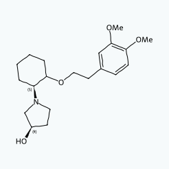 COc1ccc(CCOC2CCCC[C@@H]2N2CC[C@@H](O)C2)cc1OC